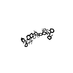 Cc1ccccc1N(c1ccc2cc3c(cc2c1)oc1c3cc(C)c2c3cc4ccc(N(c5ccccc5C)c5ccccc5C(C)C)cc4cc3oc12)c1ccccc1C(C)C